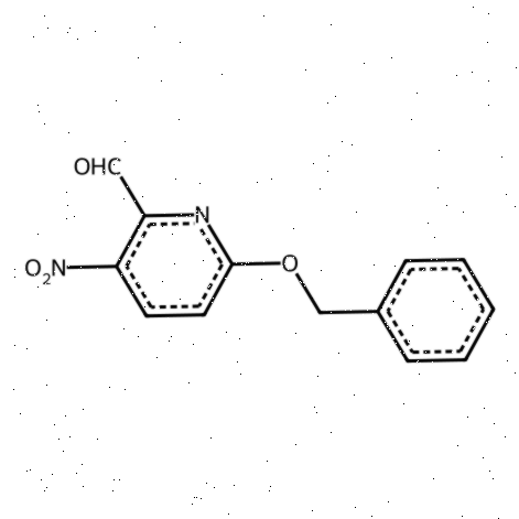 O=Cc1nc(OCc2ccccc2)ccc1[N+](=O)[O-]